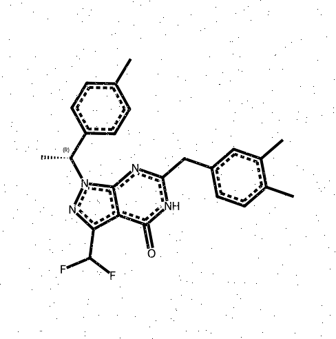 Cc1ccc([C@@H](C)n2nc(C(F)F)c3c(=O)[nH]c(Cc4ccc(C)c(C)c4)nc32)cc1